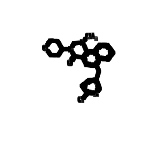 CN1CN(C2CCOCC2)C(=O)c2cc(Cc3ccc(Cl)nc3)c3ccccc3c21